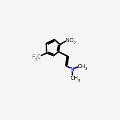 CN(C)C=Cc1cc(C(F)(F)F)ccc1[N+](=O)[O-]